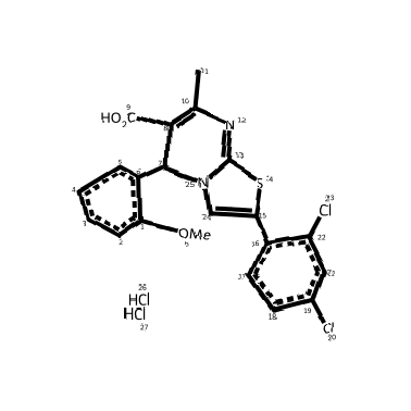 COc1ccccc1C1C(C(=O)O)=C(C)N=C2SC(c3ccc(Cl)cc3Cl)=CN21.Cl.Cl